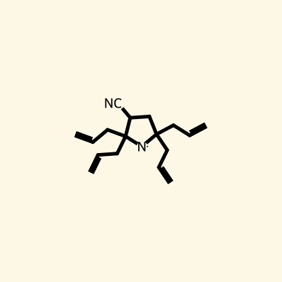 C=CCC1(CC=C)CC(C#N)C(CC=C)(CC=C)[N]1